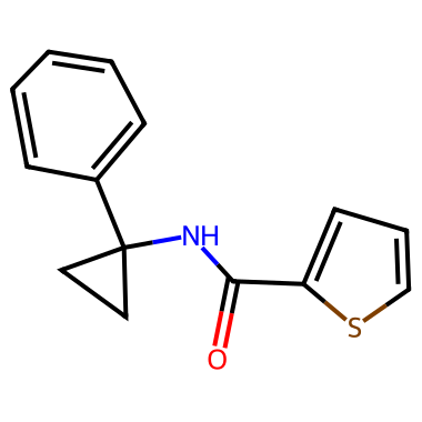 O=C(NC1(c2ccccc2)CC1)c1cccs1